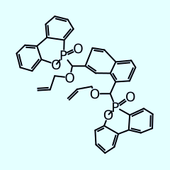 C=CCOC(c1ccc2cccc(C(OCC=C)P3(=O)Oc4ccccc4-c4ccccc43)c2c1)P1(=O)Oc2ccccc2-c2ccccc21